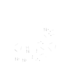 N#CC[C@@H](Nc1c(C#N)cnc2c(Cl)cc(NC(C3=CN(C4CC4)NN3)c3ccc(F)cc3)cc12)c1ccccc1